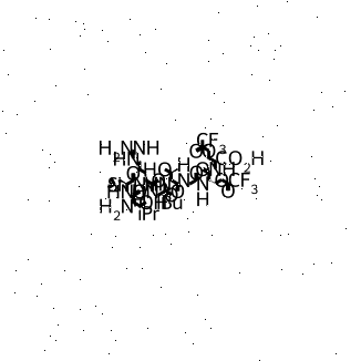 CC[C@H](C)[C@H](NC(=O)[C@@H](CCCNC(=N)N)NC(=O)[C@H](C[Si](C)(C)C)NC(=O)[C@@H](N)[C@H](O)C(C)C)C(=O)N[C@H](C(=O)NCC(=O)N[C@@H](COC(=O)C(F)(F)F)C(=O)N[C@@H](COC(=O)C(F)(F)F)C(=O)O)[C@H](C)O